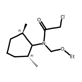 CCOCN(C(=O)CCl)C1[C@H](C)CCC[C@H]1C